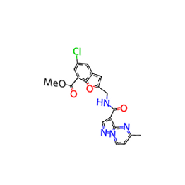 COC(=O)c1cc(Cl)cc2cc(CNC(=O)c3cnn4ccc(C)nc34)oc12